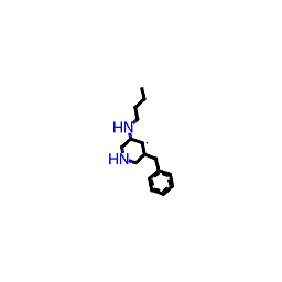 CCCCNC1[CH]C(Cc2ccccc2)CNC1